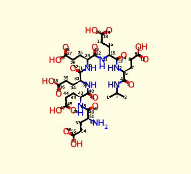 CC(C)NC(=O)[C@H](CCC(=O)O)NC(=O)[C@H](CCC(=O)O)NC(=O)[C@H](CCC(=O)O)NC(=O)[C@H](CCC(=O)O)NC(=O)[C@H](CCC(=O)O)NC(=O)[C@@H](N)CCC(=O)O